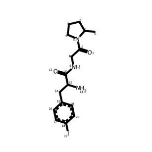 CC1CCCN1C(=O)CNC(=O)C(N)Cc1ccc(I)cc1